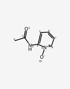 CC(=O)Nc1cccc[n+]1[O-]